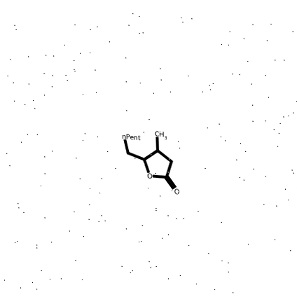 CCCCCCC1OC(=O)CC1C